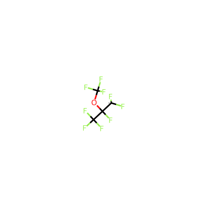 F[C](F)C(F)(OC(F)(F)F)C(F)(F)F